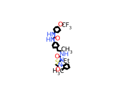 CCc1cccc(C)c1N1C(=O)CSC1=NC(=O)NC(C)Cc1ccc(NC(=O)Nc2ccc(OC(F)(F)F)cc2)cc1